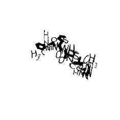 Cc1cccc2[nH]c(C(=O)NC(C(=O)NC3C(=O)N4C(C(=O)O)=C(C(C)Sc5nnn[nH]5)CS[C@@H]34)c3cccs3)nc12